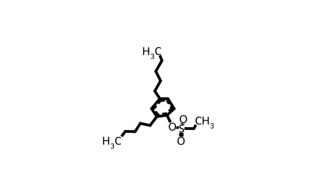 CCCCCc1ccc(OS(=O)(=O)CC)c(CCCCC)c1